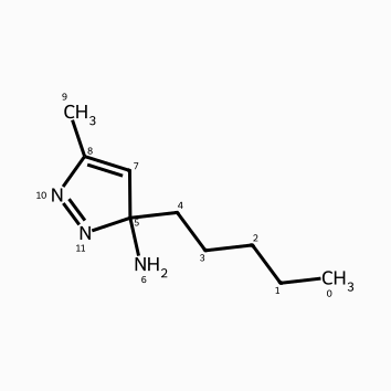 CCCCCC1(N)C=C(C)N=N1